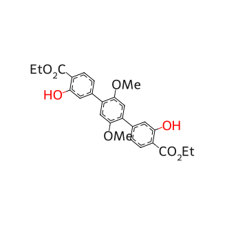 CCOC(=O)c1ccc(-c2cc(OC)c(-c3ccc(C(=O)OCC)c(O)c3)cc2OC)cc1O